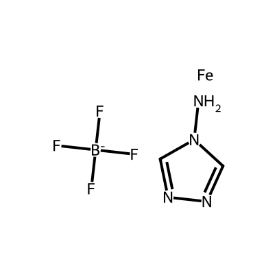 F[B-](F)(F)F.Nn1cnnc1.[Fe]